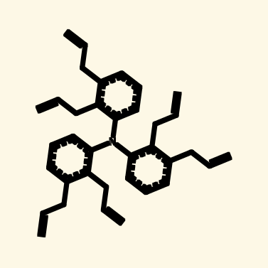 C=CCc1cccc(N(c2cccc(CC=C)c2CC=C)c2cccc(CC=C)c2CC=C)c1CC=C